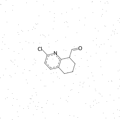 O=CC1CCCc2ccc(Cl)nc21